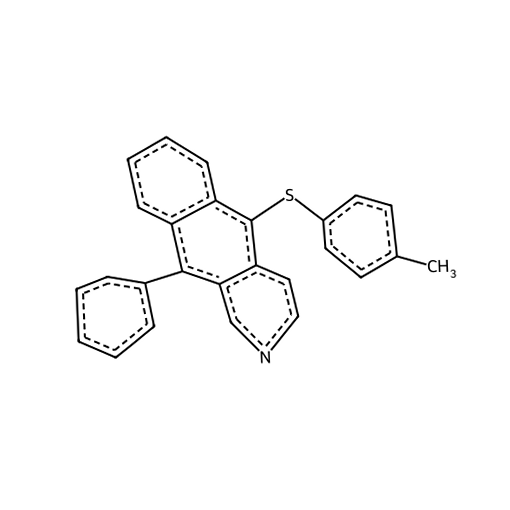 Cc1ccc(Sc2c3ccccc3c(-c3ccccc3)c3cnccc23)cc1